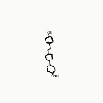 CCCCCC[C@H]1CC[C@H]([C@H]2CC[C@H](CCc3ccc(C#N)cc3)CC2)CC1